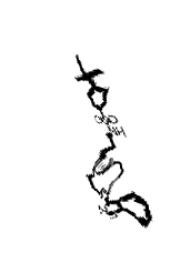 CC(C)(C)c1ccc(S(=O)(=O)NCCCN2CCN(c3nsc4ccccc34)CC2)cc1